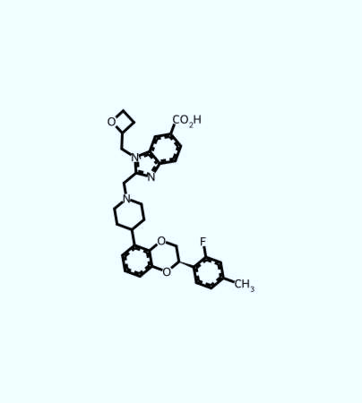 Cc1ccc([C@@H]2COc3c(cccc3C3CCN(Cc4nc5ccc(C(=O)O)cc5n4CC4CCO4)CC3)O2)c(F)c1